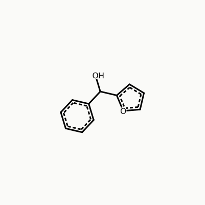 OC(c1ccccc1)c1ccco1